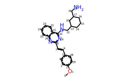 COc1ccc(/C=C/c2nc(NCC3CCCC(CN)C3)c3ccccc3n2)cc1